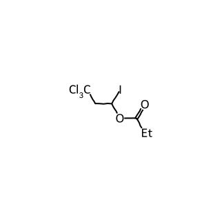 CCC(=O)OC(I)CC(Cl)(Cl)Cl